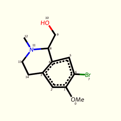 COc1cc2c(cc1Br)C(CO)N(C)CC2